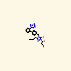 C#CCCc1nn(C(=O)CCC)c(=O)n1Cc1ccc(-c2ccccc2-c2nnn[nH]2)cc1